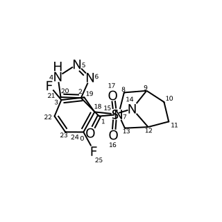 O=C(c1c[nH]nn1)N1CC2CCC(C1)N2S(=O)(=O)c1cc(F)ccc1F